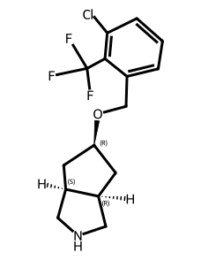 FC(F)(F)c1c(Cl)cccc1CO[C@H]1C[C@H]2CNC[C@H]2C1